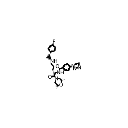 C[C@@H]1CN(C(=O)[C@H](CCCN[C@@H]2C[C@H]2c2ccc(F)cc2)NC(=O)c2ccc(-n3ccnn3)cc2)C[C@H](C)O1